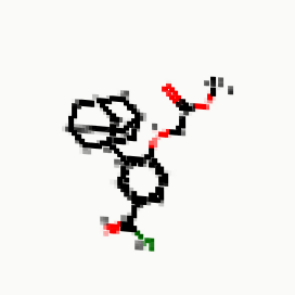 COC(=O)COc1ccc(C(=O)Cl)cc1C12CC3CC(CC(C3)C1)C2